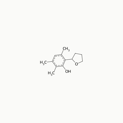 Cc1cc(C)c(C2CCCO2)c(O)c1C